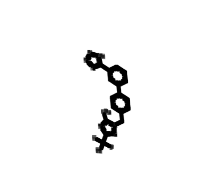 CCCCc1nc(C(F)(F)CC)nn1Cc1ccc(-c2cccc(-c3nnn[nH]3)c2)cc1